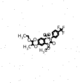 CCOC(=O)C(C)Oc1ccc2c(c1)N(OC)C(=O)N(c1ccc(C(F)(F)F)cc1)S2(=O)=O